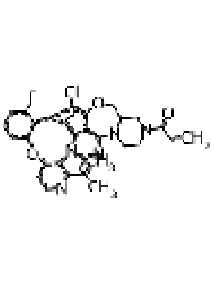 C=CC(=O)N1CCN2c3nc(=O)n4c5c(C(C)C)nccc5oc5cccc(F)c5c5c(Cl)c(c3c4c5F)OCC2C1